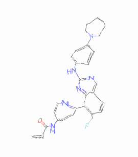 C=CC(=O)Nc1ccnc(-c2c(F)ccc3cnc(Nc4ccc(N5CCCCC5)cc4)nc23)c1